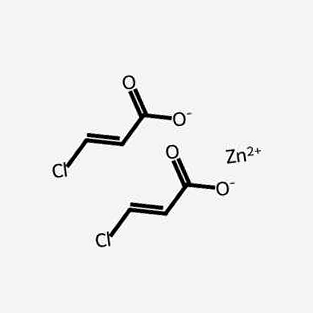 O=C([O-])C=CCl.O=C([O-])C=CCl.[Zn+2]